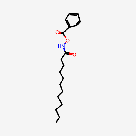 CCCCCCCCCCCC(=O)NOC(=O)c1ccccc1